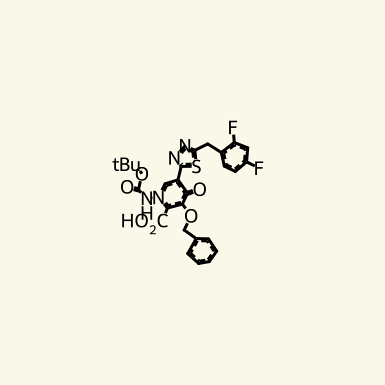 CC(C)(C)OC(=O)Nn1cc(-c2nnc(Cc3ccc(F)cc3F)s2)c(=O)c(OCc2ccccc2)c1C(=O)O